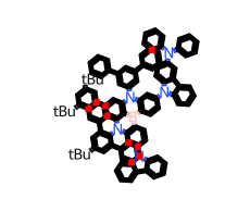 CC(C)(C)c1cc(-c2cc3c4c(c2)N(c2c(-c5ccccc5)cc(C(C)(C)C)cc2-c2ccccc2)c2cc(-n5c6ccccc6c6ccccc65)ccc2B4c2ccc(-n4c5ccccc5c5cc(N(c6ccccc6)c6ccccc6)ccc54)cc2N3c2cc(-c3ccccc3)cc(-c3ccccc3)c2)cc(C(C)(C)C)c1